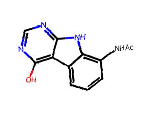 CC(=O)Nc1cccc2c1[nH]c1ncnc(O)c12